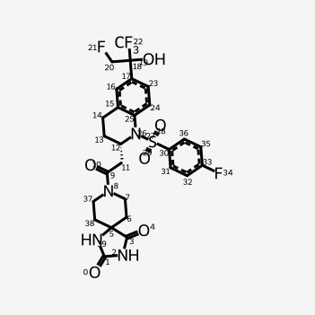 O=C1NC(=O)C2(CCN(C(=O)C[C@@H]3CCc4cc(C(O)(CF)C(F)(F)F)ccc4N3S(=O)(=O)c3ccc(F)cc3)CC2)N1